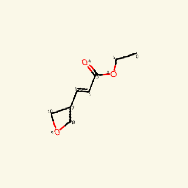 CCOC(=O)C=CC1COC1